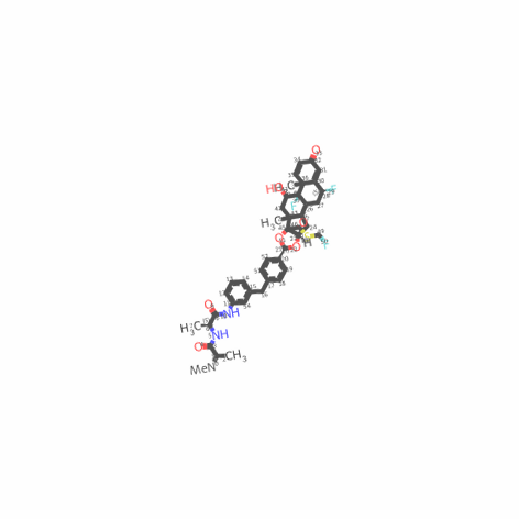 CNC(C)C(=O)N[C@@H](C)C(=O)Nc1cccc(Cc2ccc([C@@H]3O[C@@H]4CC5C6C[C@H](F)C7=CC(=O)C=CC7(C)[C@@]6(F)C(O)CC5(C)C4(C(=O)SCF)O3)cc2)c1